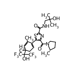 CC1=CC(C)(C(O)(C(F)(F)F)C(F)(F)F)CC=C1c1sc(C(=O)NCC(C)(C)O)nc1C(=O)N1CCC[C@@H]1C